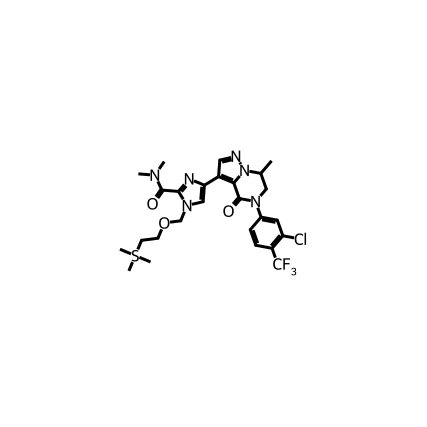 CC1CN(c2ccc(C(F)(F)F)c(Cl)c2)C(=O)c2c(-c3cn(COCCS(C)(C)C)c(C(=O)N(C)C)n3)cnn21